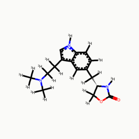 [2H]c1c(C([2H])([2H])[C@@H]2N([2H])C(=O)OC2([2H])[2H])c([2H])c2c(C([2H])([2H])C([2H])([2H])N(C([2H])([2H])[2H])C([2H])([2H])[2H])cn([2H])c2c1[2H]